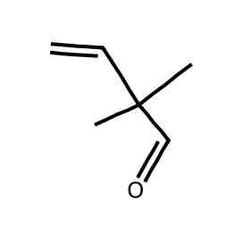 C=CC(C)(C)C=O